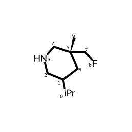 CC(C)C1CNC[C@](C)(CF)C1